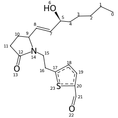 CCCCC[C@H](O)/C=C/C1CCC(=O)N1CCc1ccc(C=O)s1